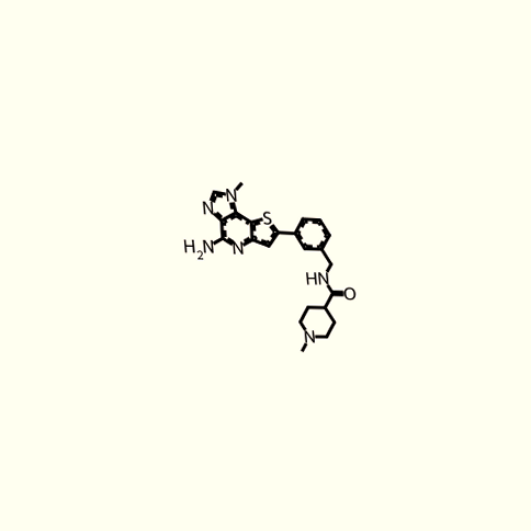 CN1CCC(C(=O)NCc2cccc(-c3cc4nc(N)c5ncn(C)c5c4s3)c2)CC1